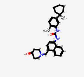 COc1ccc(C2(C)CCCCC2)cc1NC(=O)Nc1ccc(CN2CCC(=O)CC2)c2ccccc12